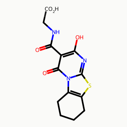 O=C(O)CNC(=O)c1c(O)nc2sc3c(n2c1=O)CCCC3